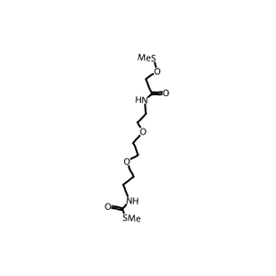 CSOCC(=O)NCCOCCOCCNC(=O)SC